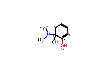 CN(C)C1(C)CC=CC=C1O